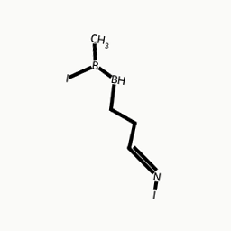 CB(I)BCCC=NI